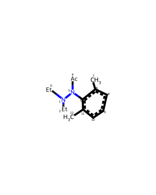 CCN(CC)N(C(C)=O)c1c(C)cccc1C